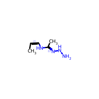 C/C=C\N/C(C)=N/NN